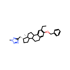 CCc1cc2c(cc1OCc1ccccc1)CCC1C2CC[C@@]2(C)C1CC[C@@H]2Cc1nnn(C)n1